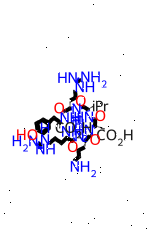 CC(C)[C@H](NC(=O)[C@H](CC(=O)O)NC(=O)[C@H](CCCCN)NC(=O)[C@@H](N)CCCNC(=N)N)C(=O)N[C@@H](CCCNC(=N)N)C(=O)N[C@@H](Cc1ccc(O)cc1)C(=O)O